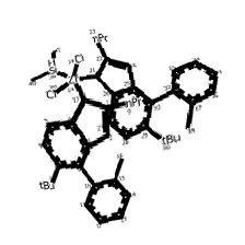 CCCC1=Cc2c(ccc(C(C)(C)C)c2-c2ccccc2C)[CH]1[Zr]([Cl])([Cl])([CH]1C(CCC)=Cc2c1ccc(C(C)(C)C)c2-c1ccccc1C)[SiH](C)C